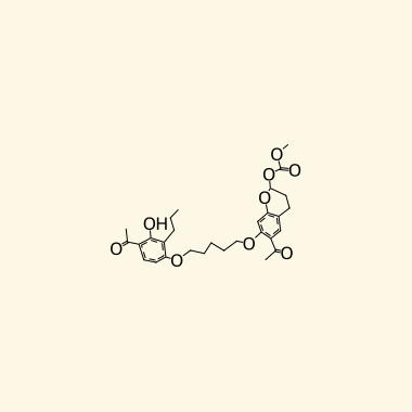 CCCc1c(OCCCCCOc2cc3c(cc2C(C)=O)CCC(OC(=O)OC)O3)ccc(C(C)=O)c1O